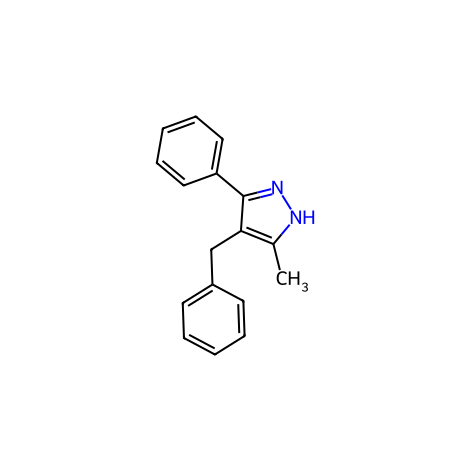 Cc1[nH]nc(-c2ccccc2)c1Cc1ccccc1